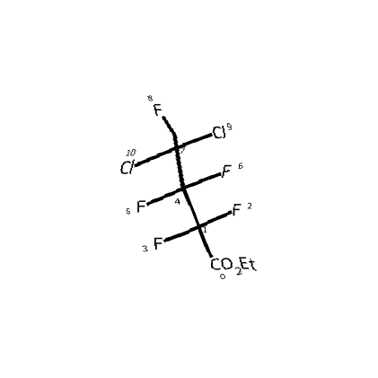 CCOC(=O)C(F)(F)C(F)(F)C(F)(Cl)Cl